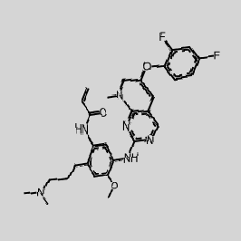 C=CC(=O)Nc1cc(Nc2ncc3c(n2)N(C)CC(Oc2ccc(F)cc2F)=C3)c(OC)cc1CCCN(C)C